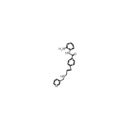 Nc1ccccc1NC(=O)c1ccc(C=CCNCc2cccnc2)cc1